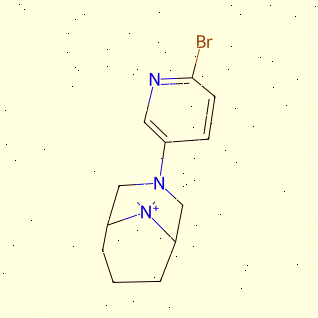 C[N+]1(C)C2CCCC1CN(c1ccc(Br)nc1)C2